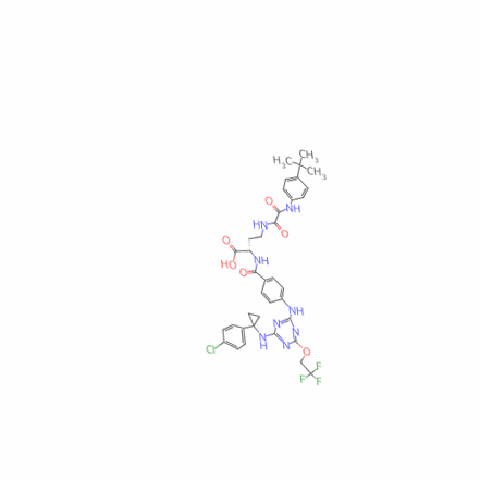 CC(C)(C)c1ccc(NC(=O)C(=O)NCC[C@H](NC(=O)c2ccc(Nc3nc(NC4(c5ccc(Cl)cc5)CC4)nc(OCC(F)(F)F)n3)cc2)C(=O)O)cc1